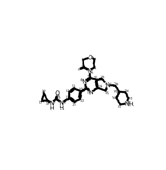 CC1COCCN1c1nc(-c2ccc(NC(=O)NC3CC3)cc2)nc2c1CN(CC1CCNCC1)C2